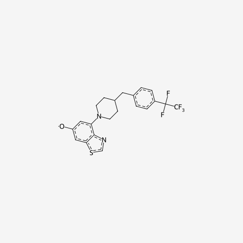 [O]c1cc(N2CCC(Cc3ccc(C(F)(F)C(F)(F)F)cc3)CC2)c2ncsc2c1